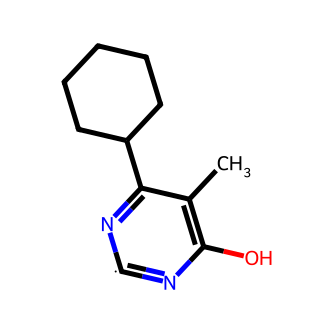 Cc1c(O)n[c]nc1C1CCCCC1